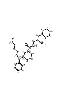 COCCCO[C@@H](c1ccccc1)[C@@H]1CCCN(C(=O)NCC(N)CC2CCCCC2)C1